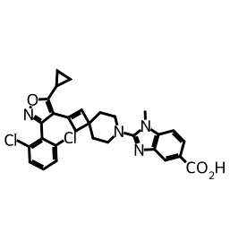 Cn1c(N2CCC3(C=C(c4c(-c5c(Cl)cccc5Cl)noc4C4CC4)C3)CC2)nc2cc(C(=O)O)ccc21